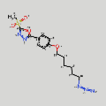 CS(=O)(=O)c1nnc(-c2ccc(OCCCCCCN=[N+]=[N-])cc2)o1